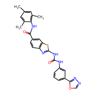 Cc1cc(C)c(NC(=O)c2ccc3nc(NC(=O)Nc4cccc(-c5nnco5)c4)sc3c2)c(C)c1